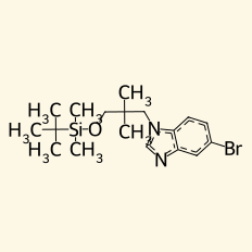 CC(C)(CO[Si](C)(C)C(C)(C)C)Cn1cnc2cc(Br)ccc21